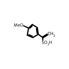 C=C(c1ccc(OC)cc1)S(=O)(=O)O